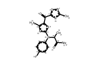 Cc1noc(C(=O)c2sc(N(c3ccc(F)cc3)C(C)C(N)=O)nc2N)n1